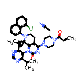 C=CC(=O)N1CCN(c2nc(=O)n(-c3c(C(C)C)ncnc3C(C)C)c3c2CCN(c2cccc4cccc(Cl)c24)C32CC2)C[C@@H]1CC#N